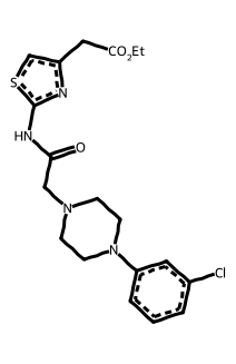 CCOC(=O)Cc1csc(NC(=O)CN2CCN(c3cccc(Cl)c3)CC2)n1